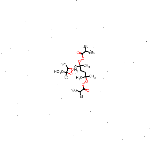 CCCC1OOC1(CC)C(=O)O.CCCCC(CC)C(=O)OOC(C)(C)CCC(C)(C)OOC(=O)C(CC)CCCC